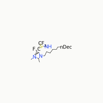 CCCCCCCCCCCCCCCCN1C=CN(C)C1C.N=S(C(F)(F)F)C(F)(F)F